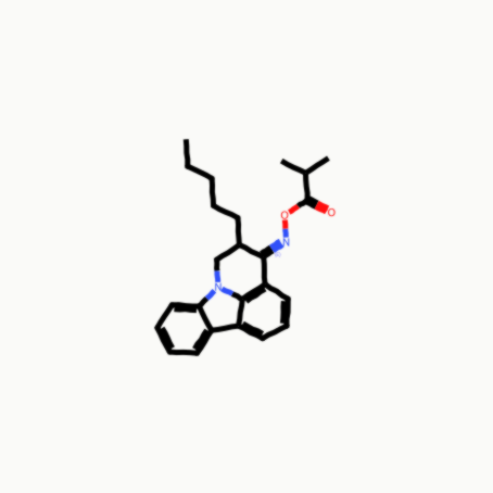 CCCCCC1Cn2c3ccccc3c3cccc(c32)/C1=N/OC(=O)C(C)C